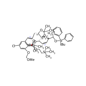 COCOc1cc(Cl)cc(/C=C/C[C@@H]2OC(C)(C)O[C@@H]2C(/C=C\[C@@H](C)C(C)O[Si](c2ccccc2)(c2ccccc2)C(C)(C)C)O[Si](C)(C)C(C)(C)C)c1C(=O)OCC[Si](C)(C)C